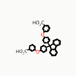 O=C(O)c1cccc(Oc2ccc(C3(c4ccc(Oc5cccc(C(=O)O)c5)cc4)c4ccccc4-c4ccccc43)cc2)c1